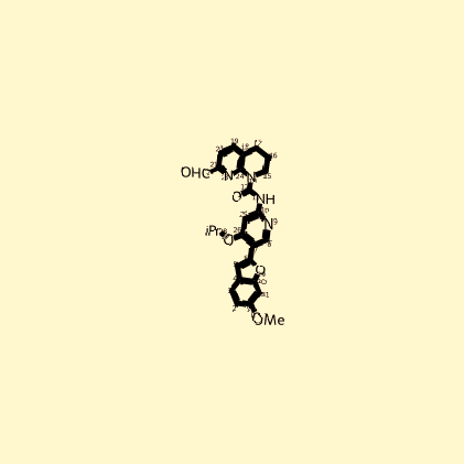 COc1ccc2cc(-c3cnc(NC(=O)N4CCCc5ccc(C=O)nc54)cc3OC(C)C)oc2c1